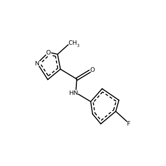 Cc1oncc1C(=O)Nc1ccc(F)cc1